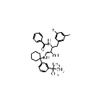 CC(C)(C)c1cccc(C2(NCC(O)C(Cc3cc(F)cc(F)c3)NC(=O)c3ccccc3)CCCCC2)c1